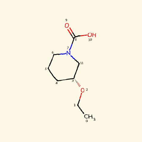 CCO[C@@H]1CCCN(C(=O)O)C1